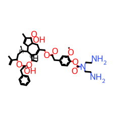 C=C(C)C1C[C@@H](C)C2C3C=C(C)C(=O)C3(O)CC(COC(=O)Cc3ccc(OC(=O)N(CCN)CCN)c(OC)c3)=C[C@@H]2C(C)O[C@](O)(Cc2ccccc2)O1